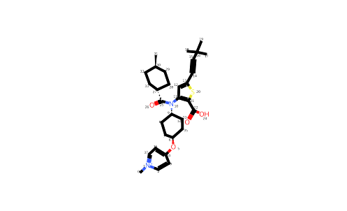 C[n+]1ccc(O[C@H]2CC[C@H](N(c3cc(C#CC(C)(C)C)sc3C(=O)O)C(=O)[C@H]3CC[C@H](C)CC3)CC2)cc1